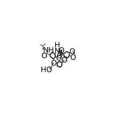 COc1ccccc1Oc1c(NS(=O)(=O)c2ccc3c(c2)OCO3)cc(C(=O)NCC(C)C)cc1OCCO